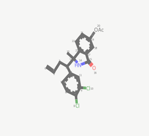 C=CCC(c1ccc(Cl)c(Cl)c1)C1(C)NC(=O)c2cc(OC(C)=O)ccc21